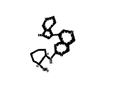 N[C@H]1CCCC[C@H]1Nc1ncc2cncc(-c3c[nH]c4cnccc34)c2n1